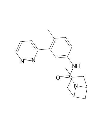 Cc1ccc(NC(=O)N2C3CC(C)CC2C3)cc1-c1cccnn1